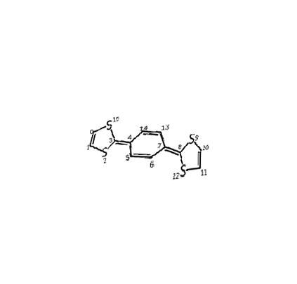 C1=CSC(=c2ccc(=C3SC=CS3)cc2)S1